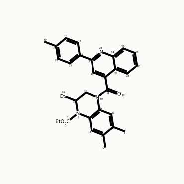 CCOC(=O)N1c2cc(C)c(C)cc2N(C(=O)c2cc(-c3ccc(C)cc3)nc3ccccc23)CC1CC